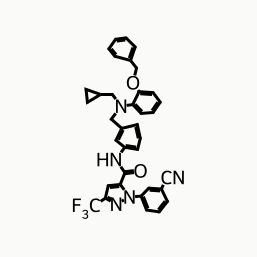 N#Cc1cccc(-n2nc(C(F)(F)F)cc2C(=O)Nc2cccc(CN(CC3CC3)c3ccccc3OCc3ccccc3)c2)c1